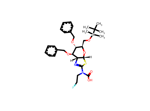 CC(C)(C)[Si](C)(C)OC[C@H]1O[C@@H]2SC(N(CCF)C(=O)O)=N[C@@H]2[C@@H](OCc2ccccc2)[C@@H]1OCc1ccccc1